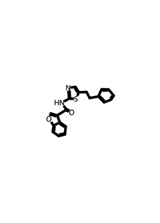 O=C(Nc1ncc(CCc2ccccc2)s1)c1coc2ccccc12